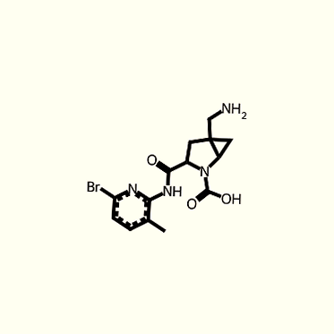 Cc1ccc(Br)nc1NC(=O)C1CC2(CN)CC2N1C(=O)O